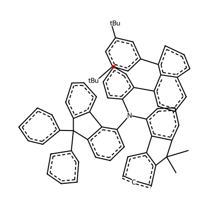 CC(C)(C)c1cc(-c2cccc3cccc(-c4ccccc4N(c4cccc5c4-c4ccccc4C5(C)C)c4cccc5c4-c4ccccc4C5(c4ccccc4)c4ccccc4)c23)cc(C(C)(C)C)c1